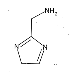 NCC1=NCC=N1